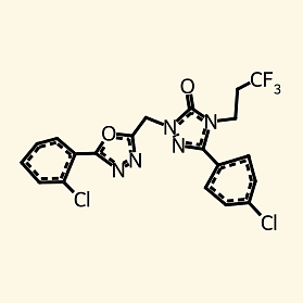 O=c1n(Cc2nnc(-c3ccccc3Cl)o2)nc(-c2ccc(Cl)cc2)n1CCC(F)(F)F